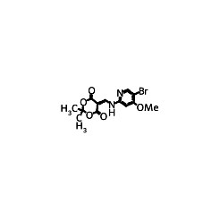 COc1cc(NC=C2C(=O)OC(C)(C)OC2=O)ncc1Br